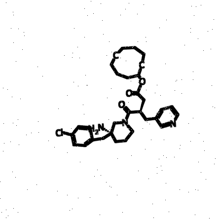 N[C@@]1(Cc2ccc(Cl)cc2)CCCN(C(=O)[C@@H](CC(=O)OC2CCCCCCCC2)Cc2cccnc2)C1